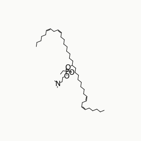 CCCCC/C=C\C/C=C\CCCCCCCCC(CCCCCCCC/C=C\C/C=C\CCCCC)OP(=O)(CC)OCCN(C)C